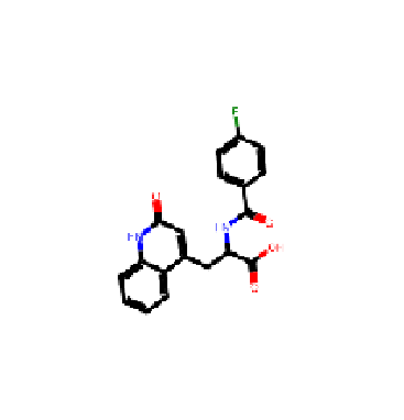 O=C(NC(Cc1cc(=O)[nH]c2ccccc12)C(=O)O)c1ccc(F)cc1